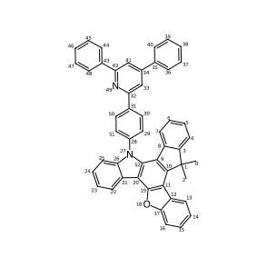 CC1(C)c2ccccc2-c2c1c1c3ccccc3oc1c1c3ccccc3n(-c3ccc(-c4cc(-c5ccccc5)cc(-c5ccccc5)n4)cc3)c21